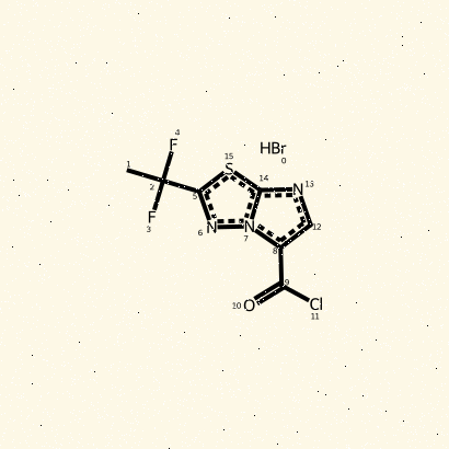 Br.CC(F)(F)c1nn2c(C(=O)Cl)cnc2s1